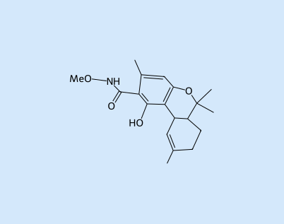 CONC(=O)c1c(C)cc2c(c1O)C1C=C(C)CCC1C(C)(C)O2